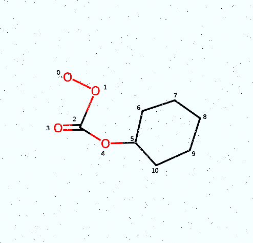 [O]OC(=O)OC1CCCCC1